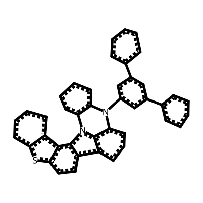 c1ccc(-c2cc(-c3ccccc3)cc(N3c4ccccc4-n4c5c3cccc5c3ccc5sc6ccccc6c5c34)c2)cc1